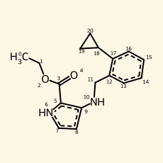 CCOC(=O)c1[nH]ccc1NCc1ccccc1C1CC1